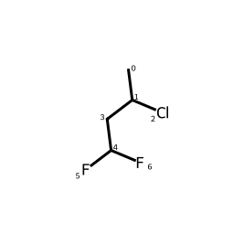 CC(Cl)CC(F)F